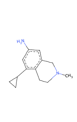 CN1CCc2c(cc(N)cc2C2CC2)C1